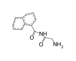 NCC(=O)NC(=O)c1cccc2ccccc12